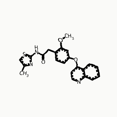 COc1cc(Oc2ccnc3ccccc23)ccc1CC(=O)Nc1nc(C)cs1